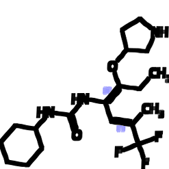 CC/C(OC1CCNC1)=C(\C=C(/C)C(F)(F)F)NC(=O)NC1CCCCC1